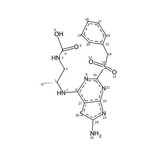 C[C@H](CNC(=O)O)Nc1nc(S(=O)(=O)Cc2ccccc2)nc2nc(N)sc12